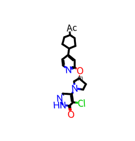 CC(=O)C1CCC(c2ccnc(O[C@@H]3CCN(c4cn[nH]c(=O)c4Cl)C3)c2)CC1